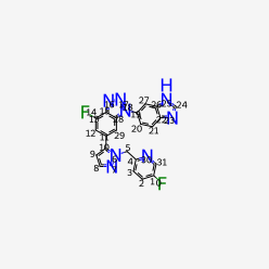 Fc1ccc(Cn2nccc2-c2cc(F)c3nnn(-c4ccc5nc[nH]c5c4)c3c2)nc1